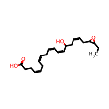 CCC1OC1C/C=C\CC(O)/C=C\C=C/C/C=C\C/C=C\CCC(=O)O